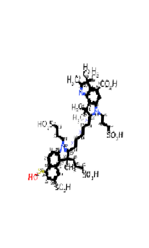 CC1=Nc2c(c(C(=O)O)cc3c2C(C)(C)\C(=C/C=C/C=C/C2=[N+](CCCS(=O)(=O)O)c4ccc5c(SO)cc(S(=O)(=O)O)cc5c4C2(C)CCCS(=O)(=O)O)N3CCCS(=O)(=O)O)C1(C)C